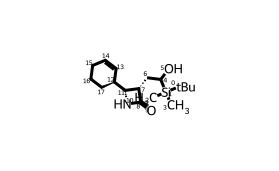 CC(C)(C)[Si](C)(C)C(O)C[C@@H]1C(=O)N[C@@H]1[C@@H]1C=CCCC1